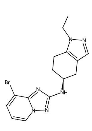 CCn1ncc2c1CC[C@H](Nc1nc3c(Br)cccn3n1)C2